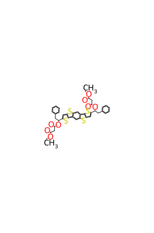 CCOC(=O)CC(=O)OC(Cc1ccccc1)c1cc2sc3cc4c(cc3c2s1)sc1cc(C(Cc2ccccc2)OC(=O)CC(=O)OCC)sc14